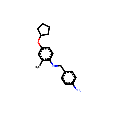 Cc1cc(OC2CCCC2)ccc1NCc1ccc(N)cc1